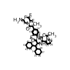 CC(C(=O)N(CCN)C(F)C(F)F)c1ccc(NC(=O)C(NC(=O)c2ccnn2C(C)C)C(C2CCCCC2)C2CCCCC2)c(F)c1